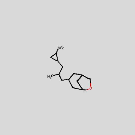 CCCC1CC1CC(C)CC1CC2COC(C2)C1